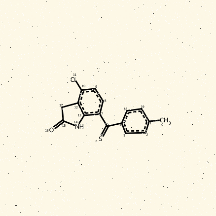 Cc1ccc(C(=S)c2ccc(Cl)c3c2NC(=O)C3)cc1